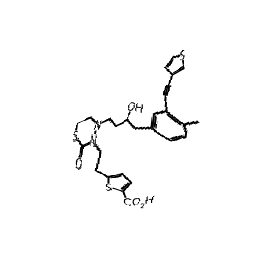 Cc1ccc(C[C@H](O)CCN2CCSC(=O)N2CCc2ccc(C(=O)O)s2)cc1C#Cc1ccsc1